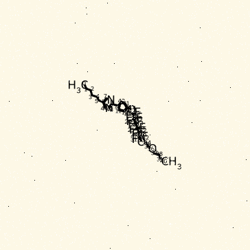 CCCCCCc1cnc(-c2ccc(OC(F)(F)C(F)(F)C(F)(F)C(F)(F)C(F)(F)C(F)(F)OCCOCCCC)cc2)nc1